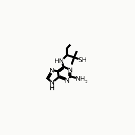 CCC(Nc1nc(N)nc2[nH]cnc12)C(C)(C)S